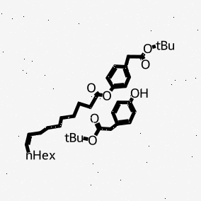 CC(C)(C)OC(=O)Cc1ccc(O)cc1.CCCCCC/C=C\CCCCCCCC(=O)Oc1ccc(CC(=O)OC(C)(C)C)cc1